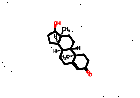 C[C@]12CC[C@H]3[C@@H](CCC4=CC(=O)CC[C@@]43C)[C@H]1CC[C@H]2O